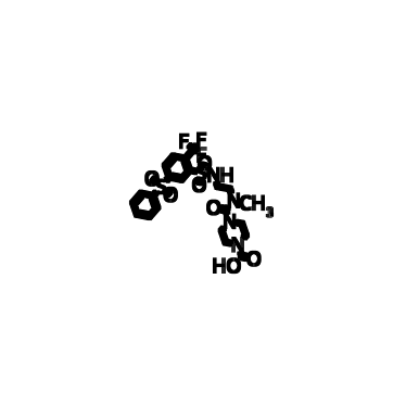 CN(CCNS(=O)(=O)c1cc(S(=O)(=O)c2ccccc2)ccc1C(F)(F)F)C(=O)N1CCN(C(=O)O)CC1